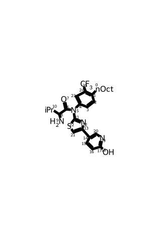 CCCCCCCCc1ccc(N(C(=O)C(N)C(C)C)c2nc(-c3ccc(O)nc3)cs2)cc1C(F)(F)F